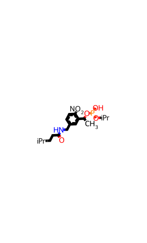 CC(C)CCC(=O)NCc1ccc([N+](=O)[O-])c(C(C)OP(O)OC(C)C)c1